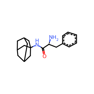 N[C@@H](Cc1ccccc1)C(=O)NC12CC3CC(CC(C3)C1)C2